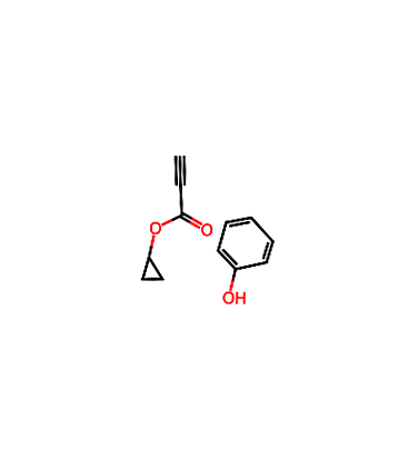 C#CC(=O)OC1CC1.Oc1ccccc1